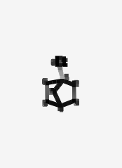 CC[C@@]12[CH]CC(CC1)C2